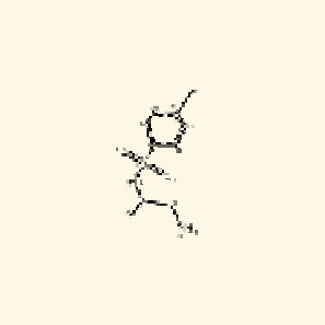 [CH2]C(CN)NS(=O)(=O)c1ccc(C)cc1